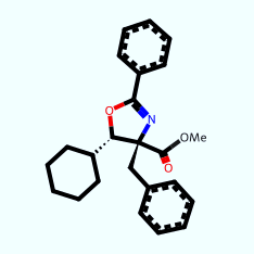 COC(=O)[C@@]1(Cc2ccccc2)N=C(c2ccccc2)O[C@H]1C1CCCCC1